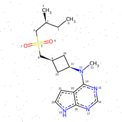 CC[C@H](C)CS(=O)(=O)C[C@H]1C[C@@H](N(C)c2ncnc3[nH]ccc23)C1